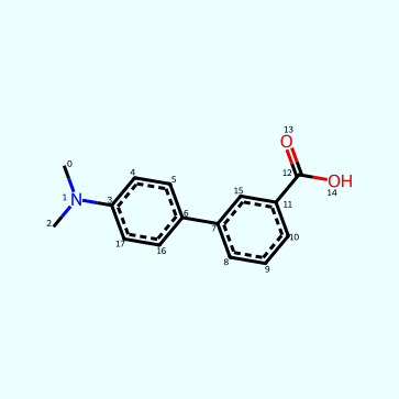 CN(C)c1ccc(-c2cccc(C(=O)O)c2)cc1